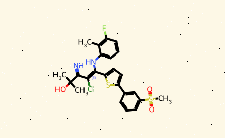 Cc1c(F)cccc1N/C(=C(/Cl)C(=N)C(C)(C)O)c1ccc(-c2cccc(S(C)(=O)=O)c2)s1